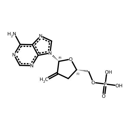 C=C1C[C@@H](COP(=O)(O)O)O[C@H]1n1cnc2c(N)ncnc21